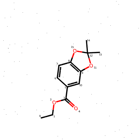 CCOC(=O)c1ccc2c(c1)OC(C)(C)O2